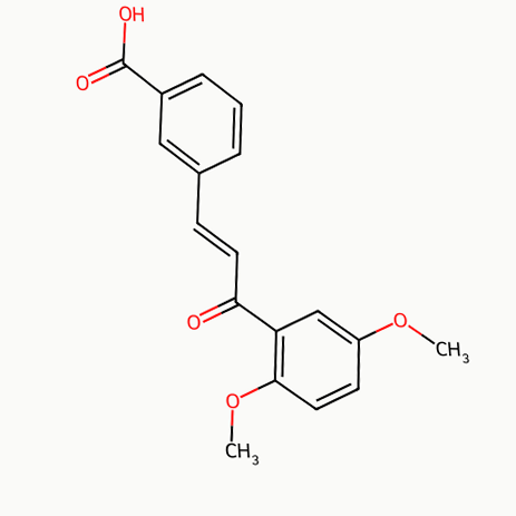 COc1ccc(OC)c(C(=O)C=Cc2cccc(C(=O)O)c2)c1